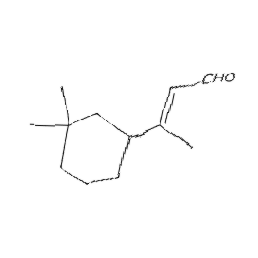 CC(=CC=O)C1CCCC(C)(C)C1